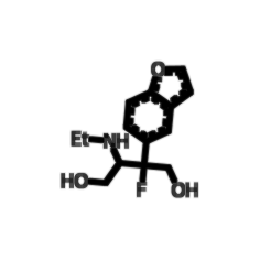 CCNC(CO)C(F)(CO)c1ccc2occc2c1